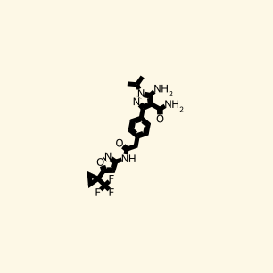 CC(C)n1nc(-c2ccc(CC(=O)Nc3cc(C4(C(F)(F)F)CC4)on3)cc2)c(C(N)=O)c1N